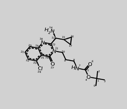 CC(C)(C)OC(=O)NCCCn1c([C@@H](N)C2CC2)nc2cccc(Cl)c2c1=O